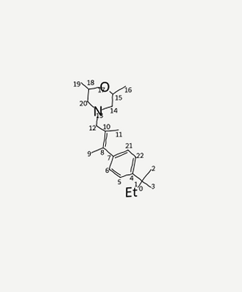 CCC(C)(C)c1ccc(/C(C)=C(\C)CN2CC(C)OC(C)C2)cc1